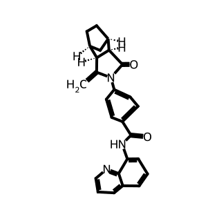 C=C1[C@H]2[C@H]3CC[C@H](C3)[C@H]2C(=O)N1c1ccc(C(=O)Nc2cccc3cccnc23)cc1